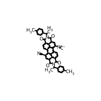 [C-]#[N+]c1cc2c3c(ccc4c5c(C#N)cc6c7c(ccc(c1c34)c75)C(=O)N(C(C)c1ccc(C)cc1)C6=O)C(=O)N(C(C)c1ccc(C)cc1)C2=O